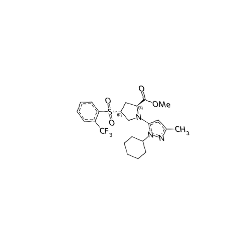 COC(=O)[C@@H]1C[C@@H](S(=O)(=O)c2ccccc2C(F)(F)F)CN1c1cc(C)nn1C1CCCCC1